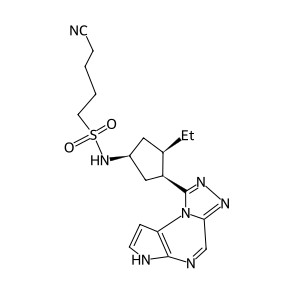 CC[C@@H]1C[C@H](NS(=O)(=O)CCCCC#N)C[C@@H]1c1nnc2cnc3[nH]ccc3n12